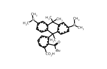 CCC(C)C(=O)c1c(C(=O)O)cccc1C1(C)c2ccc(N(C)C)cc2C(C)(C)c2cc(N(C)C)ccc21